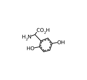 NC(C(=O)O)c1cc(O)ccc1O